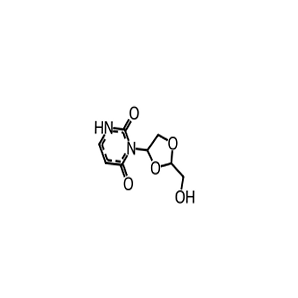 O=c1cc[nH]c(=O)n1C1COC(CO)O1